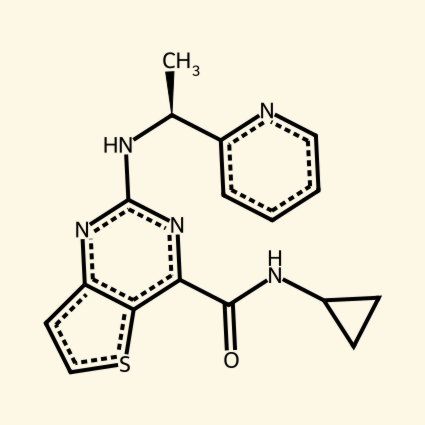 C[C@H](Nc1nc(C(=O)NC2CC2)c2sccc2n1)c1ccccn1